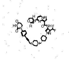 O=C1CCN(c2ccc(C#CCN3CCN(C[C@H]4CC[C@@H](n5cc(NC(=O)c6cnn7ccc(N8C[C@@H]9C[C@H]8CO9)nc67)c(C(F)F)n5)CC4)CC3)cc2)C(=O)N1